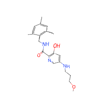 COCCCNc1cnc(C(=O)NCc2c(C)cc(C)cc2C)c(O)c1